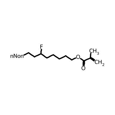 C=C(C)C(=O)OCCCCCC(F)CCCCCCCCCCC